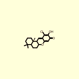 CC1(C)CCC[C@]2(C)C3C=C4C(=CC(=O)C(O)=C4Cl)OC3CCC12